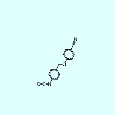 N#Cc1ccc(OCc2ccc(N=C=O)cc2)cc1